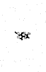 C=C(C)c1c(C(=O)OCC)cnn2c(Br)c(C)nc12